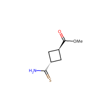 COC(=O)[C@H]1C[C@H](C(N)=S)C1